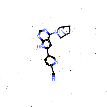 N#Cc1ccc(-c2cc3c(N4CC5CCC(C4)N5)ncnc3[nH]2)cn1